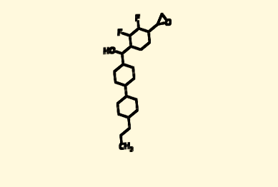 CCCC1CCC(C2CCC(C(O)C3CCC(C4CO4)C(F)C3F)CC2)CC1